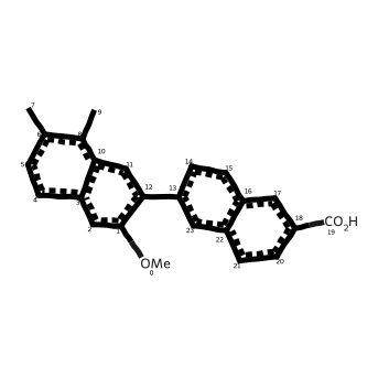 COc1cc2ccc(C)c(C)c2cc1-c1ccc2cc(C(=O)O)ccc2c1